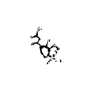 CCOc1c(S(C)(=O)=O)ccc(C(=O)CC(=O)C(C)C)c1Cl